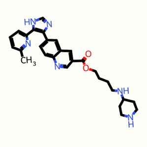 Cc1cccc(-c2[nH]cnc2-c2ccc3ncc(C(=O)OCCCCNC4CCNCC4)cc3c2)n1